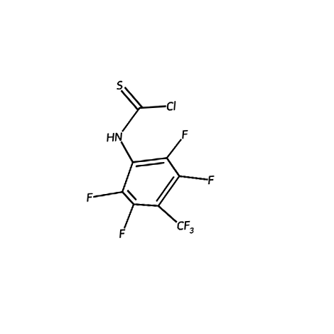 Fc1c(F)c(C(F)(F)F)c(F)c(F)c1NC(=S)Cl